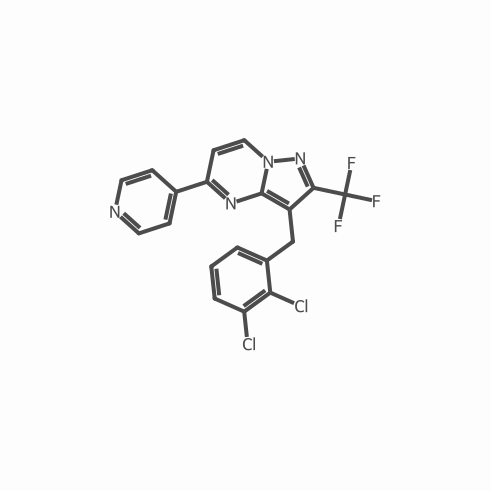 FC(F)(F)c1nn2ccc(-c3ccncc3)nc2c1Cc1cccc(Cl)c1Cl